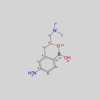 CN(C)CC1Cc2cc(N)ccc2B(O)O1